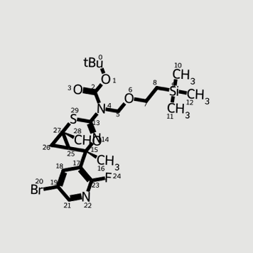 CC(C)(C)OC(=O)N(COCC[Si](C)(C)C)C1=N[C@](C)(c2cc(Br)cnc2F)C2C[C@]2(C=O)S1